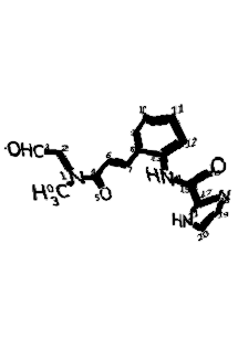 CN(C[C]=O)C(=O)/C=C/c1ccccc1NC(=O)c1ncc[nH]1